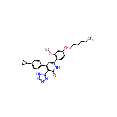 CCOc1cc(OCCCCCC(F)(F)F)ccc1-c1cc(-c2ccc(C3CC3)cc2)c(-c2nnn[nH]2)c(=O)[nH]1